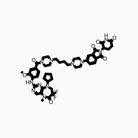 COc1cc(C(=O)N2CCN(CCCCN3CCN(c4ccc5c(c4)C(=O)N(C4CCC(=O)NC4=O)C5=O)CC3)CC2)ccc1Nc1ncc2c(n1)N(C1CCCC1)CC(F)(F)C(=O)N2C